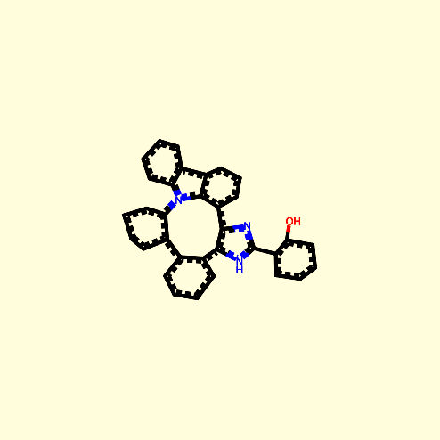 Oc1ccccc1-c1nc2c3cccc4c5ccccc5n(c5ccccc5c5ccccc5c2[nH]1)c43